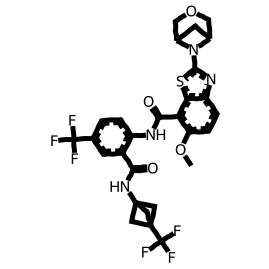 COc1ccc2nc(N3C4COCC3C4)sc2c1C(=O)Nc1ccc(C(F)(F)F)cc1C(=O)NC12CC(C(F)(F)F)(C1)C2